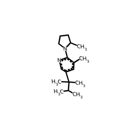 Cc1cc(C(C)(C)C(C)C)cnc1N1CCCC1C